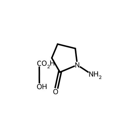 NN1CCCC1=O.O=C(O)O